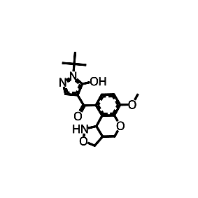 COc1ccc(C(=O)c2cnn(C(C)(C)C)c2O)c2c1OCC1CONC21